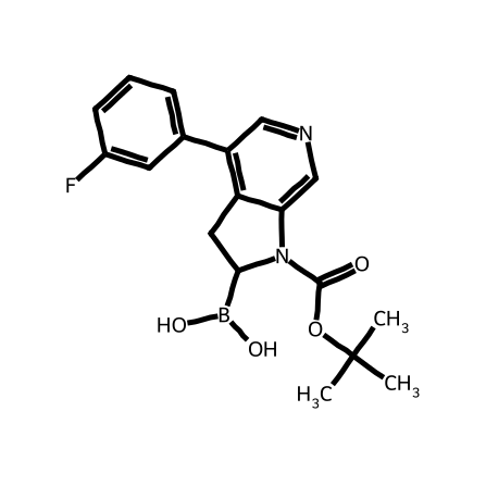 CC(C)(C)OC(=O)N1c2cncc(-c3cccc(F)c3)c2CC1B(O)O